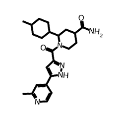 Cc1cc(-c2cc(C(=O)N3CCC(C(N)=O)CC3C3CCC(C)CC3)n[nH]2)ccn1